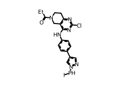 CCC(=O)N1CCc2nc(Cl)nc(Nc3ccc(-c4cnn(PI)c4)cc3)c2C1